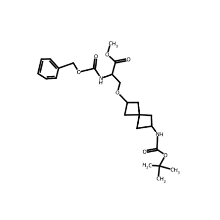 COC(=O)C(COC1CC2(CC(NC(=O)OC(C)(C)C)C2)C1)NC(=O)OCc1ccccc1